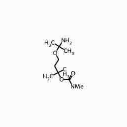 CNC(=O)OC(C)(C)CCOC(C)(C)N